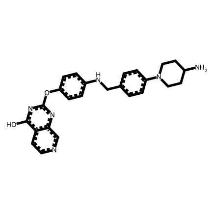 NC1CCN(c2ccc(CNc3ccc(Oc4nc(O)c5ccncc5n4)cc3)cc2)CC1